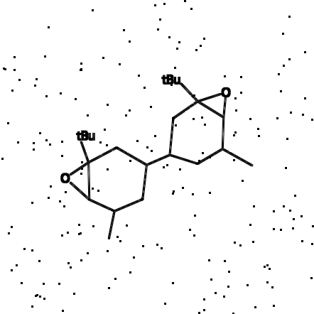 CC1CC(C2CC(C)C3OC3(C(C)(C)C)C2)CC2(C(C)(C)C)OC12